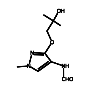 Cn1cc(NC=O)c(OCC(C)(C)O)n1